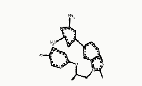 Cc1nc2ccc(-c3cc(N)nc(N)c3)nc2n1CC(C)Oc1ccc(Cl)cn1